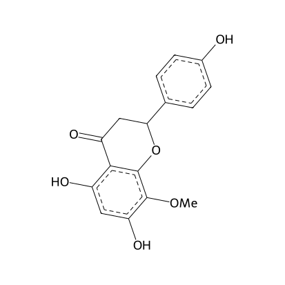 COc1c(O)cc(O)c2c1OC(c1ccc(O)cc1)CC2=O